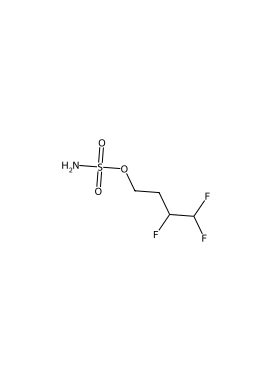 NS(=O)(=O)OCCC(F)C(F)F